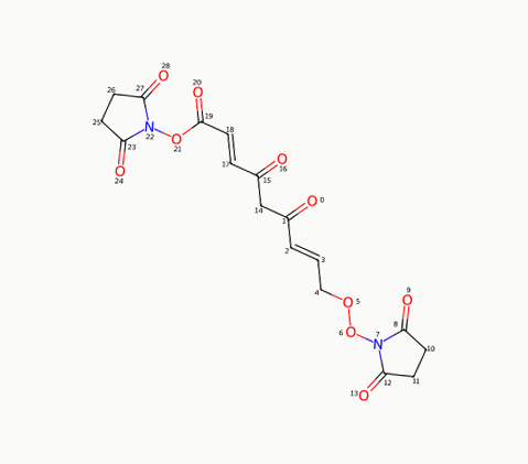 O=C(/C=C/COON1C(=O)CCC1=O)CC(=O)/C=C/C(=O)ON1C(=O)CCC1=O